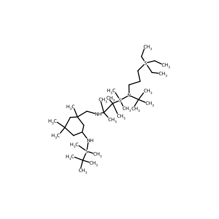 CCS(CC)(CC)CCCN(C(C)(C)C)S(C)(C)C(C)(C)C(C)(C)NCC1(C)CC(NS(C)(C)C(C)(C)C)CC(C)(C)C1